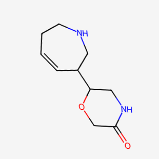 O=C1COC(C2C=CCCNC2)CN1